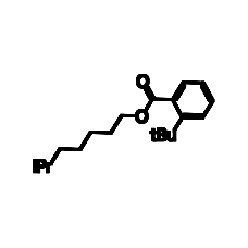 CC(C)CCCCCOC(=O)c1ccccc1C(C)(C)C